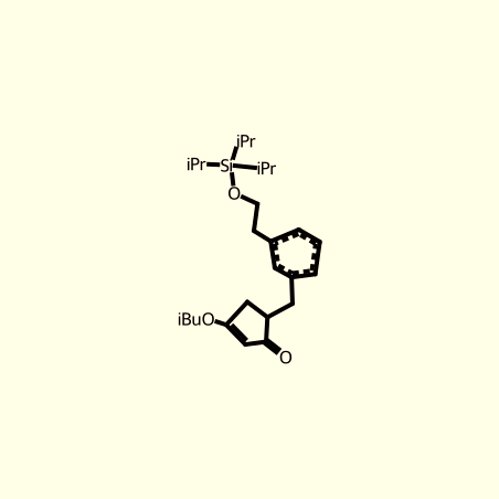 CC(C)COC1=CC(=O)C(Cc2cccc(CCO[Si](C(C)C)(C(C)C)C(C)C)c2)C1